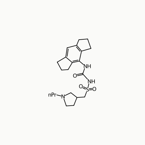 CCCN1CCC(CS(=O)(=O)NC(=O)Nc2c3c(cc4c2CCC4)CCC3)C1